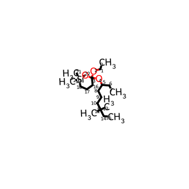 CCOC1(OC(CC)CCCC(C)(C)CC)CCC[Si](C)(C)O1